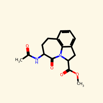 COC(=O)C1Cc2cccc3c2N1C(=O)C(NC(C)=O)CC3